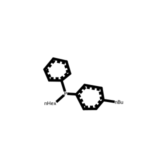 CCCCCCP(c1ccccc1)c1ccc(CCCC)cc1